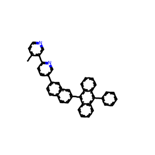 Cc1ccncc1-c1ccc(-c2ccc3ccc(-c4c5ccccc5c(-c5ccccc5)c5ccccc45)cc3c2)cn1